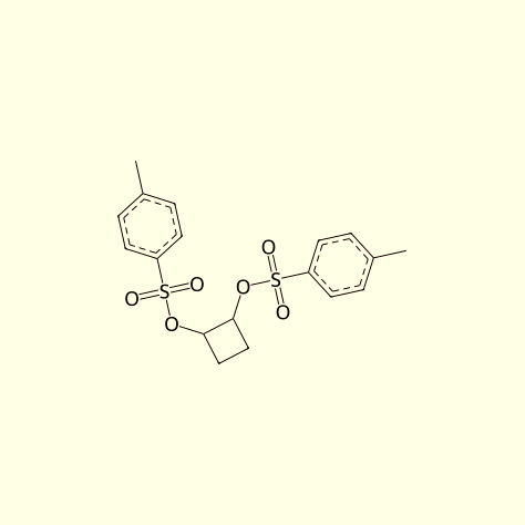 Cc1ccc(S(=O)(=O)OC2CCC2OS(=O)(=O)c2ccc(C)cc2)cc1